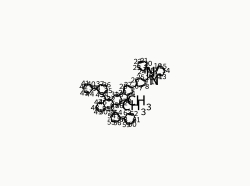 CC1(C)c2cc(-c3ccc(-c4nc5ccccc5n4-c4ccccc4)cc3)ccc2-c2cc3c(-c4cccc(-c5ccccc5)c4)c4ccccc4c(-c4cccc(-c5ccccc5)c4)c3cc21